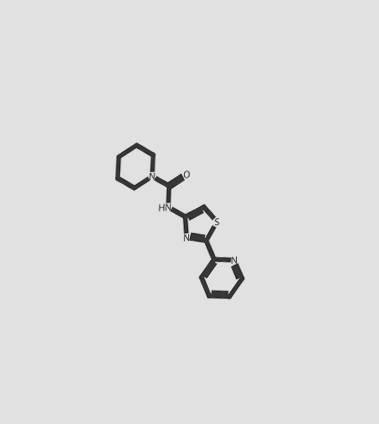 O=C(Nc1csc(-c2ccccn2)n1)N1CCCCC1